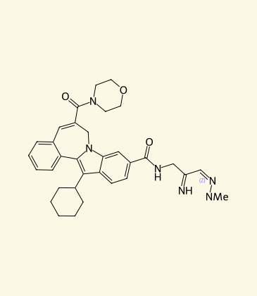 CN/N=C\C(=N)CNC(=O)c1ccc2c(C3CCCCC3)c3n(c2c1)CC(C(=O)N1CCOCC1)=Cc1ccccc1-3